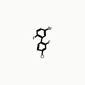 Fc1cc(Cl)ccc1-c1cc(Br)[c]cc1F